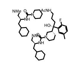 CNC[C@H](CC1CCCCC1)NC(=O)N1CCCCC1.CNC[C@H](CC1CCCCC1)NC(=O)N1CCC[C@@H]([C@@](O)(CCCNC(C)=O)c2cc(C)ccc2F)C1